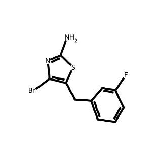 Nc1nc(Br)c(Cc2cccc(F)c2)s1